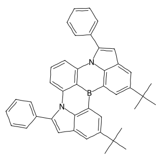 CC(C)(C)c1cc2c3c(c1)cc(-c1ccccc1)n3-c1cccc3c1B2c1cc(C(C)(C)C)cc2cc(-c4ccccc4)n-3c12